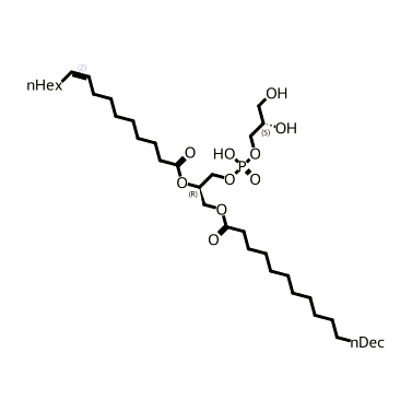 CCCCCC/C=C\CCCCCCCC(=O)O[C@H](COC(=O)CCCCCCCCCCCCCCCCCCCC)COP(=O)(O)OC[C@@H](O)CO